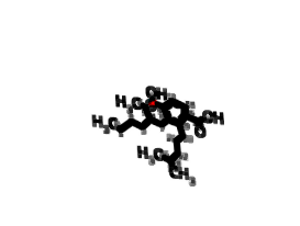 CCCCC(CC)Cc1c(C(=O)O)ccc(C(=O)O)c1CCCC(C)C